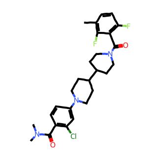 Cc1ccc(F)c(C(=O)N2CCC(C3CCN(c4ccc(C(=O)N(C)C)c(Cl)c4)CC3)CC2)c1F